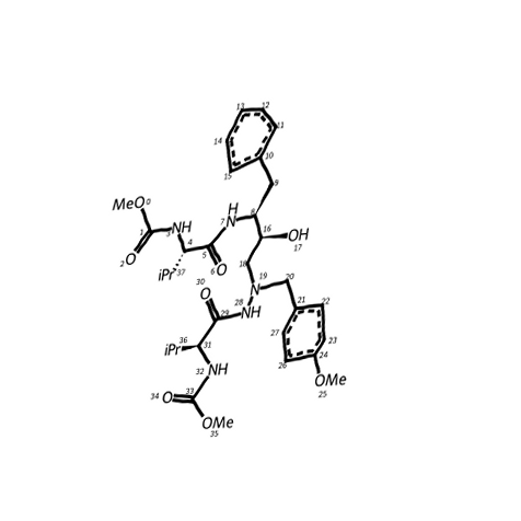 COC(=O)N[C@H](C(=O)N[C@@H](Cc1ccccc1)[C@@H](O)CN(Cc1ccc(OC)cc1)NC(=O)[C@@H](NC(=O)OC)C(C)C)C(C)C